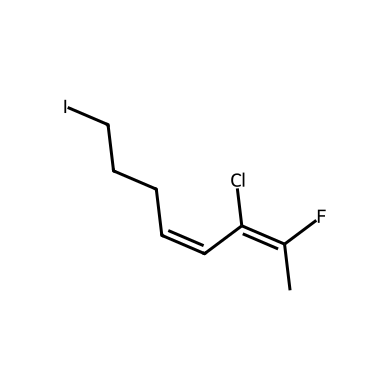 C/C(F)=C(Cl)\C=C/CCCI